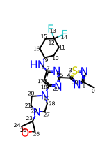 Cc1nsc(-c2nc(NC3CCC(F)(F)CC3)cc(N3CCN(C4COC4)CC3)n2)n1